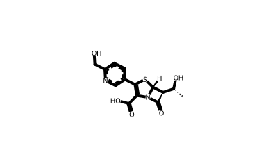 C[C@@H](O)[C@H]1C(=O)N2C(C(=O)O)=C(c3ccc(CO)nc3)S[C@H]12